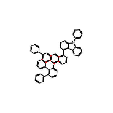 c1ccc(-c2ccc(N(c3cccc(-c4cccc5c4c4ccccc4n5-c4ccccc4)c3)c3cccc(-c4ccccc4)c3-c3ccccc3-c3ccccc3)cc2)cc1